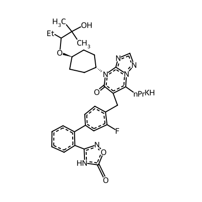 CCCc1c(Cc2ccc(-c3ccccc3-c3noc(=O)[nH]3)cc2F)c(=O)n([C@H]2CC[C@H](OC(CC)C(C)(C)O)CC2)c2ncnn12.[KH]